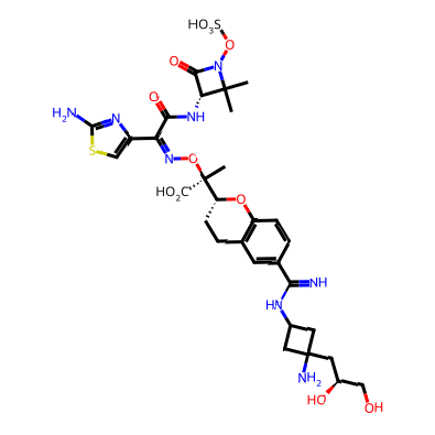 CC1(C)[C@H](NC(=O)/C(=N\O[C@](C)(C(=O)O)[C@H]2CCc3cc(C(=N)NC4CC(N)(C[C@H](O)CO)C4)ccc3O2)c2csc(N)n2)C(=O)N1OS(=O)(=O)O